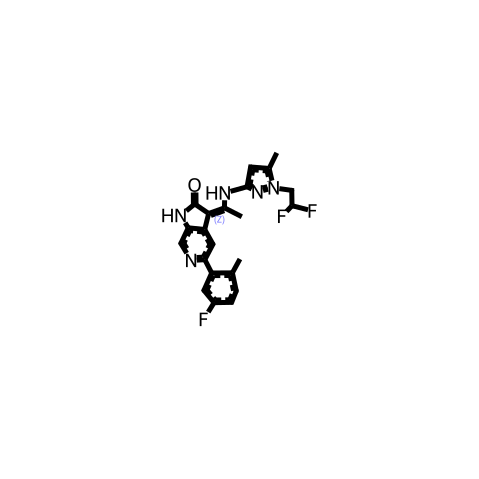 C/C(Nc1cc(C)n(CC(F)F)n1)=C1/C(=O)Nc2cnc(-c3cc(F)ccc3C)cc21